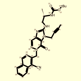 CC#CCn1c(NC[C@H](C)NC(=O)OC(C)(C)C)nc2cnn(Cc3ncc4ccccc4c3C#N)c(=O)c21